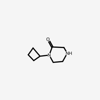 O=C1CNCCN1C1CCC1